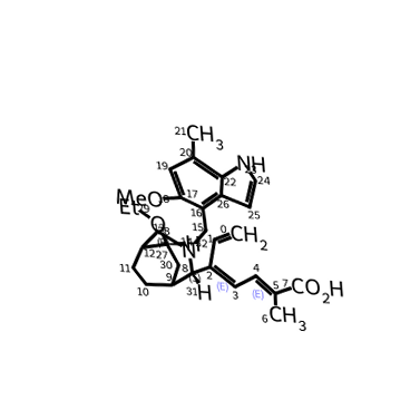 C=C/C(=C\C=C(/C)C(=O)O)[C@@H]1C2CCC(CN1Cc1c(OC)cc(C)c3[nH]ccc13)[C@H](OCC)C2